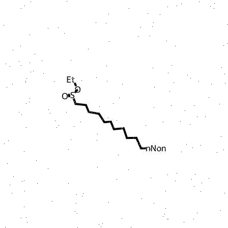 CCCCCCCCCCCCCCCCCCCCS(=O)OCC